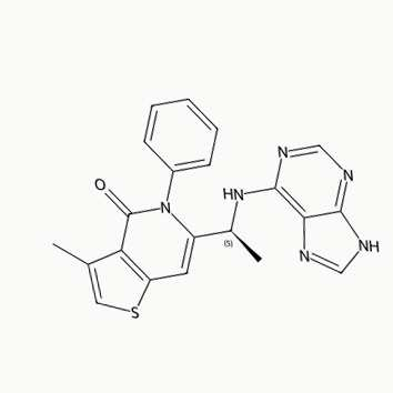 Cc1csc2cc([C@H](C)Nc3ncnc4[nH]cnc34)n(-c3ccccc3)c(=O)c12